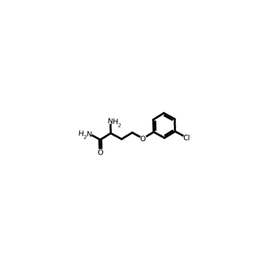 NC(=O)C(N)CCOc1cccc(Cl)c1